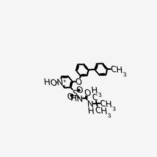 Cc1ccc(-c2cccc(Oc3cc[n+](O)cc3S(=O)(=O)NC(=O)NC(C)(C)C)c2)cc1